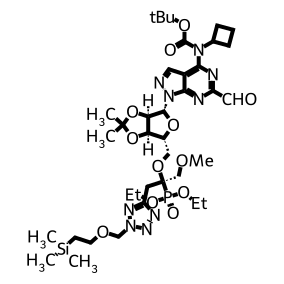 CCOP(=O)(OCC)[C@@](COC)(Cc1nnn(COCC[Si](C)(C)C)n1)OC[C@H]1O[C@@H](n2ncc3c(N(C(=O)OC(C)(C)C)C4CCC4)nc(C=O)nc32)[C@@H]2OC(C)(C)O[C@@H]21